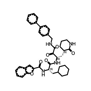 O=C(NCc1ccc(-c2ccccc2)cc1)C(=O)[C@H](C[C@@H]1CCCNC1=O)NC(=O)[C@H](CC1CCCCC1)NC(=O)c1cc2ccccc2o1